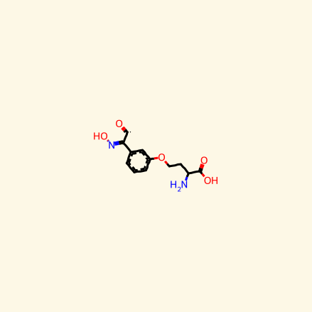 NC(CCOc1cccc(C([C]=O)=NO)c1)C(=O)O